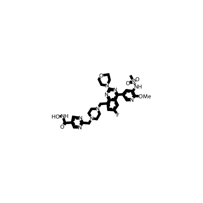 COc1ncc(-c2nc(N3CCOCC3)nc3c(CN4CCN(Cc5ncc(C(=O)NO)cn5)CC4)cc(F)cc23)cc1NS(C)(=O)=O